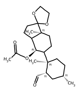 CC(=O)O[C@H]1C2CCC3(OCCO3)[C@@]2(C)CCC1[C@@]1(C)CC[C@H](C)C[C@@H]1C=O